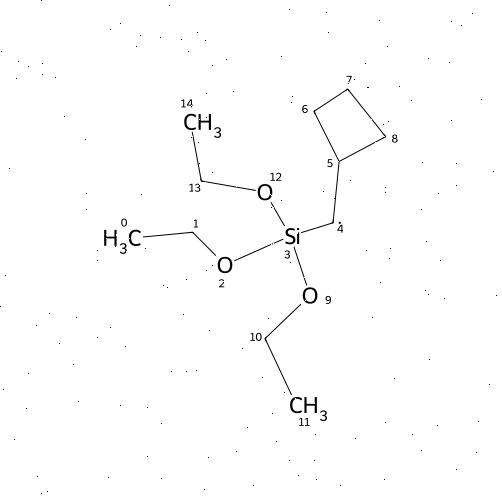 CCO[Si]([CH]C1CCC1)(OCC)OCC